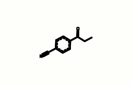 CCC(=O)c1ccc(C#N)cc1